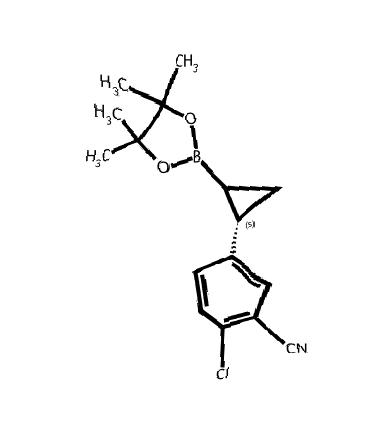 CC1(C)OB(C2C[C@@H]2c2ccc(Cl)c(C#N)c2)OC1(C)C